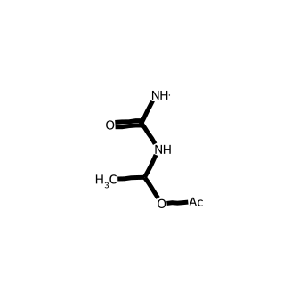 CC(=O)OC(C)NC([NH])=O